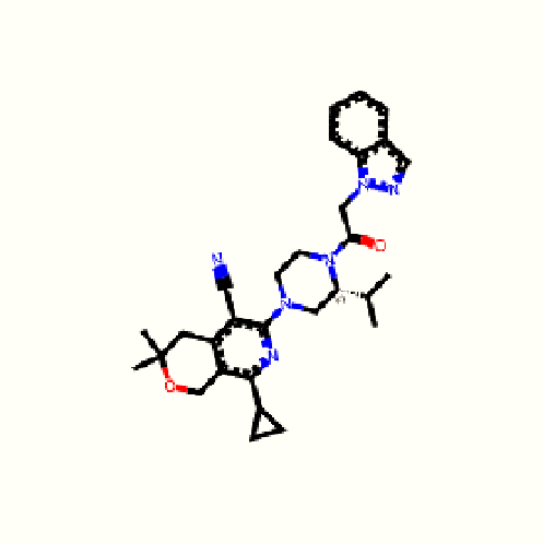 CC(C)[C@@H]1CN(c2nc(C3CC3)c3c(c2C#N)CC(C)(C)OC3)CCN1C(=O)Cn1ncc2ccccc21